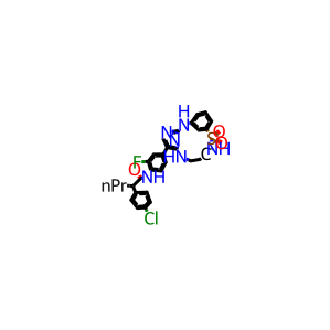 CCCC(C(=O)Nc1ccc(-c2cnc3nc2NCCCNS(=O)(=O)c2cccc(c2)N3)cc1F)c1ccc(Cl)cc1